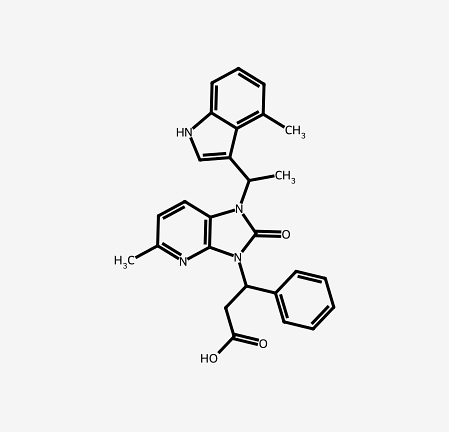 Cc1ccc2c(n1)n(C(CC(=O)O)c1ccccc1)c(=O)n2C(C)c1c[nH]c2cccc(C)c12